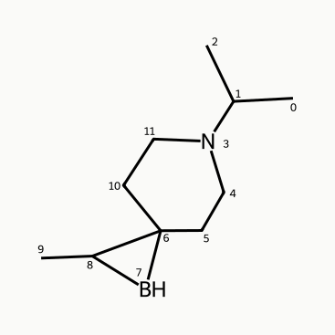 CC(C)N1CCC2(BC2C)CC1